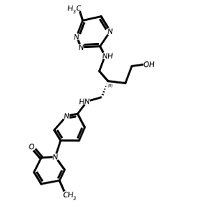 Cc1ccc(=O)n(-c2ccc(NC[C@@H](CCO)CNc3ncc(C)nn3)nc2)c1